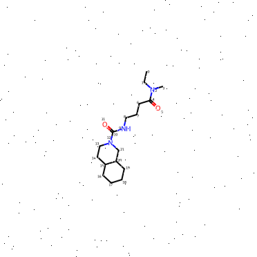 CCN(C)C(=O)CCCNC(=O)N1CCC2CCCCC2C1